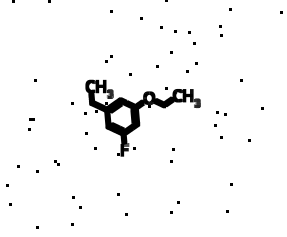 CCOc1cc(F)cc(CC)c1